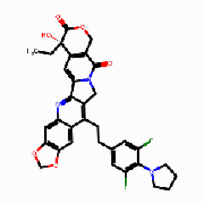 CC[C@@]1(O)C(=O)OCc2c1cc1n(c2=O)Cc2c-1nc1cc3c(cc1c2CCc1cc(F)c(N2CCCC2)c(F)c1)OCO3